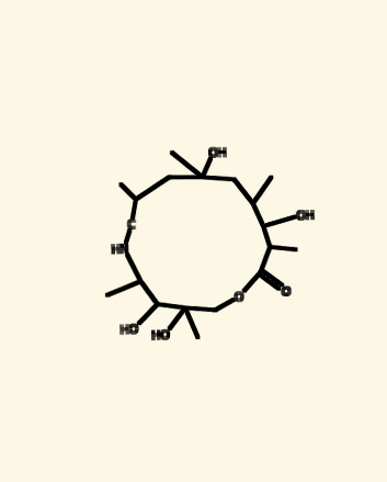 CC1CNC(C)C(O)C(C)(O)COC(=O)C(C)C(O)C(C)CC(C)(O)C1